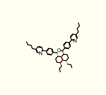 CCCCc1ccc(-c2ccc(C(OC(c3ccc(-c4ccc(CCCC)cn4)cc3)[C@H]3CC[C@H](CCC)CC3)[C@H]3CC[C@H](CCC)CC3)cc2)nc1